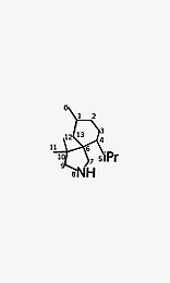 CC1CCC(C(C)C)C2(CNCC2(C)C)C1